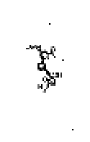 COCc1cc(C(N)=O)nc(-c2cccc(C#C[C@]3(O)CCN(C)C3=O)c2)c1